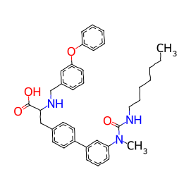 CCCCCCCNC(=O)N(C)c1cccc(-c2ccc(CC(NCc3cccc(Oc4ccccc4)c3)C(=O)O)cc2)c1